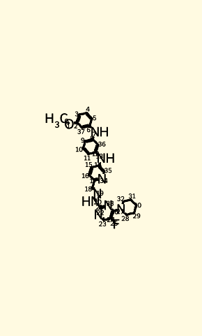 COc1cccc(Nc2cccc(Nc3ccc(/C=N/Nc4ncc(F)c(N5CCCCC5)n4)nc3)c2)c1